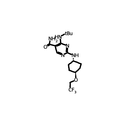 CC(C)(C)Nc1nc(N[C@H]2CC[C@H](OCC(F)(F)F)CC2)ncc1C(N)=O